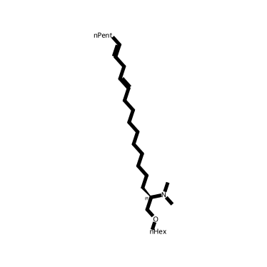 CCCCCC=CCC=CCCCCCCCCC[C@H](COCCCCCC)N(C)C